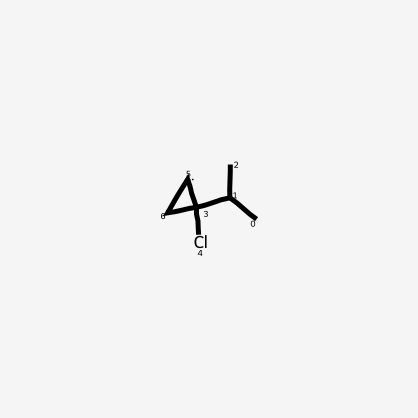 CC(C)C1(Cl)[CH]C1